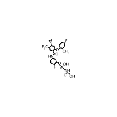 Cc1cc(F)ccc1Oc1cc(C2CC2)c(C(F)(F)F)cc1C(=O)Nc1ccc(F)c(OC[C@H](O)CNC(=O)CO)c1